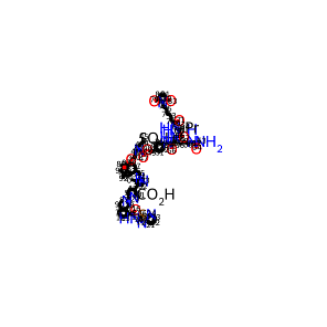 Cc1c(-c2ccc(N3CCc4cccc(C(=O)Nc5nc6cccnc6s5)c4C3)nc2C(=O)O)cnn1CC12CC3(OCCN(CCS(=O)(=O)O)C(=O)OCc4ccc(NC(=O)[C@H](CCCNC(N)=O)NC(=O)[C@@H](NC(=O)CCCCCN5C(=O)C=CC5=O)C(C)C)cc4)CC4(C)CC(C)(C1)C4(C2)C3